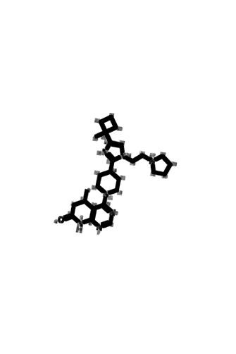 CC1CC(=O)Nc2ncnc(N3CCC(c4nc(C5(C)CCC5)cn4CCN4CCCC4)CC3)c21